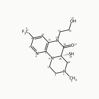 CN1CCN2c3ncc(C(F)(F)F)cc3N(CCO)C(=O)[C@@]2(S)C1